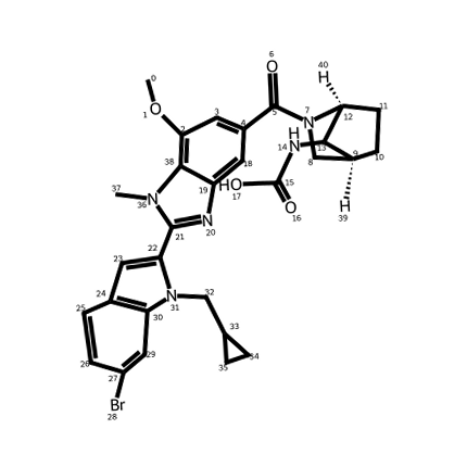 COc1cc(C(=O)N2C[C@@H]3CC[C@H]2C3NC(=O)O)cc2nc(-c3cc4ccc(Br)cc4n3CC3CC3)n(C)c12